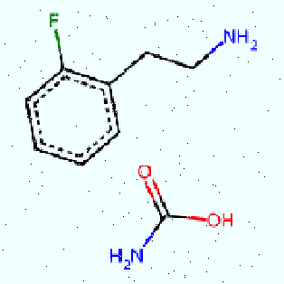 NC(=O)O.NCCc1ccccc1F